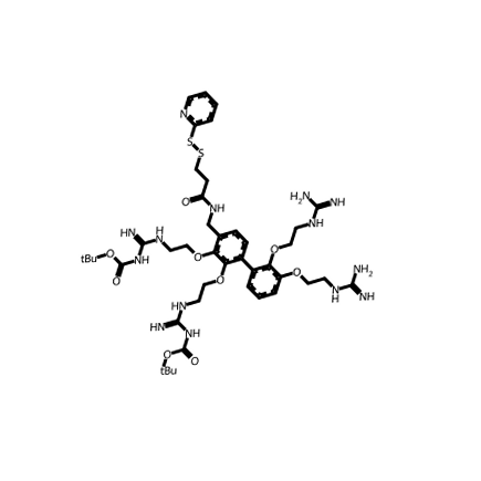 CC(C)(C)OC(=O)NC(=N)NCCOc1c(CNC(=O)CCSSc2ccccn2)ccc(-c2cccc(OCCNC(=N)N)c2OCCNC(=N)N)c1OCCNC(=N)NC(=O)OC(C)(C)C